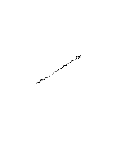 C[CH]OCCCCCCCCCCCCCCCCCCC